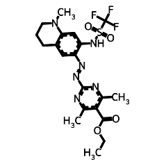 CCOC(=O)c1c(C)nc(N=Nc2cc3c(cc2NS(=O)(=O)C(F)(F)F)N(C)CCC3)nc1C